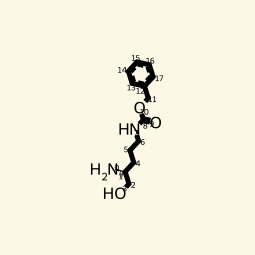 N[C@@H](CO)CCCNC(=O)OCc1ccccc1